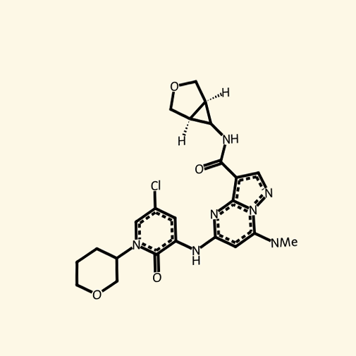 CNc1cc(Nc2cc(Cl)cn(C3CCCOC3)c2=O)nc2c(C(=O)NC3[C@H]4COC[C@@H]34)cnn12